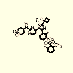 O=S1(=O)CCC(Nc2nccc(-c3sc(C4(C(F)(F)F)CCC4)nc3-c3cccc(NS(=O)(=O)c4c(F)cccc4C(F)(F)F)c3F)n2)CC1